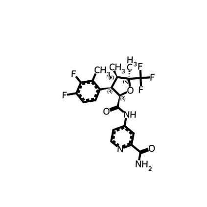 Cc1c([C@H]2[C@@H](C)[C@@](C)(C(F)(F)F)O[C@H]2C(=O)Nc2ccnc(C(N)=O)c2)ccc(F)c1F